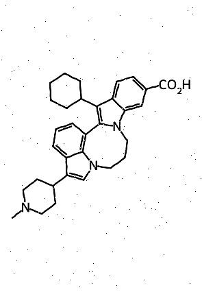 CN1CCC(c2cn3c4c(cccc24)-c2c(C4CCCCC4)c4ccc(C(=O)O)cc4n2CCC3)CC1